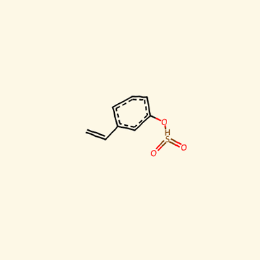 C=Cc1cccc(O[SH](=O)=O)c1